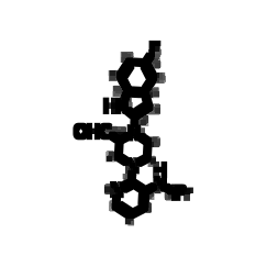 CC(C)Nc1cccnc1N1CCN(c2cc3cc(F)ccc3[nH]2)C(C=O)C1